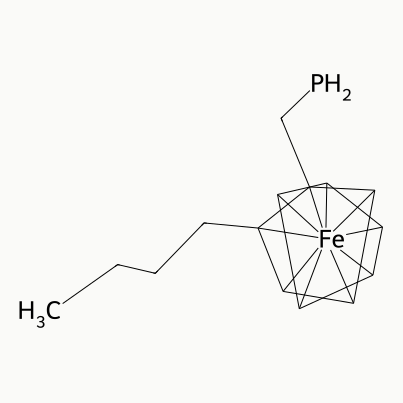 CCCC[C]12[CH]3[CH]4[CH]5[C]1(CP)[Fe]45321678[CH]2[CH]1[CH]6[CH]7[CH]28